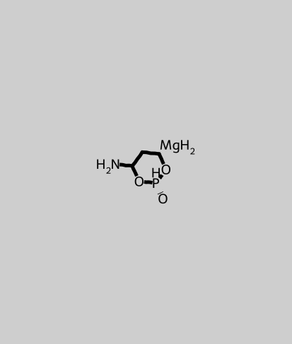 NC1CCO[PH](=O)O1.[MgH2]